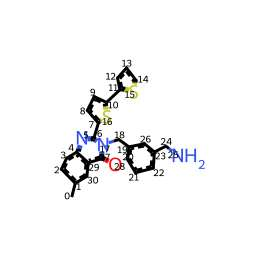 Cc1ccc2nc(-c3ccc(-c4cccs4)s3)n(Cc3cccc(CN)c3)c(=O)c2c1